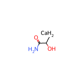 CC(O)C(N)=O.[CaH2]